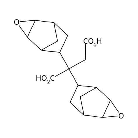 O=C(O)CC(C(=O)O)(C1CC2CC1C1OC21)C1CC2CC1C1OC21